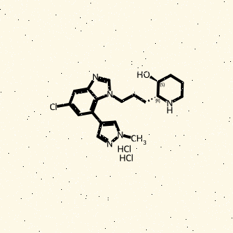 Cl.Cl.Cn1cc(-c2cc(Cl)cc3ncn(CCC[C@H]4NCCC[C@@H]4O)c23)cn1